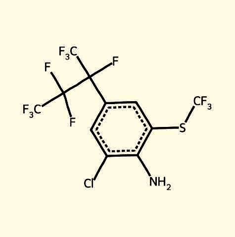 Nc1c(Cl)cc(C(F)(C(F)(F)F)C(F)(F)C(F)(F)F)cc1SC(F)(F)F